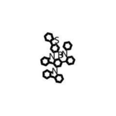 c1ccc(N2B3c4cc5sc6ccccc6c5cc4-n4c5ccccc5c5c(-n6c7ccccc7c7ccccc76)cc(c3c54)-c3ccccc32)cc1